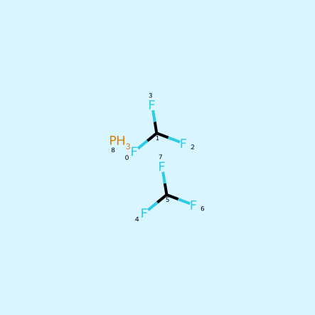 FC(F)F.FC(F)F.P